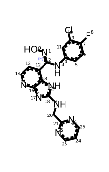 O/N=C(/Nc1ccc(F)c(Cl)c1)c1ccnc2nc(NCc3ncccn3)[nH]c12